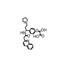 O=C(Cc1ccc2ccccc2n1)NC(CCN1CCCC1)c1ccccc1.O=C(O)C(=O)O